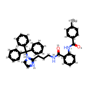 CC(C)(C)c1ccc(C(=O)Nc2ccccc2C(=O)NCCCc2nccn2C(c2ccccc2)(c2ccccc2)c2ccccc2)cc1